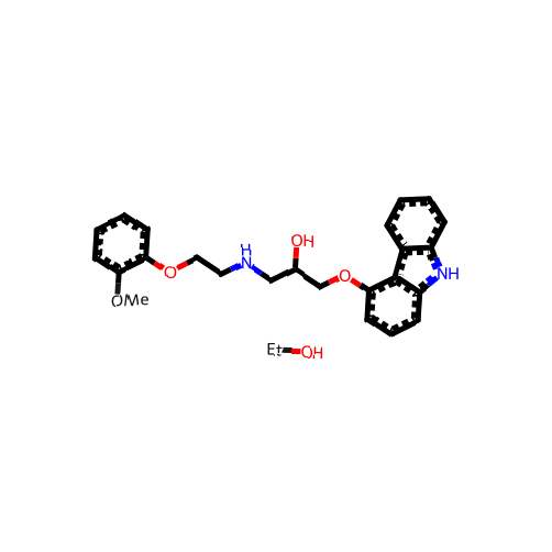 CCO.COc1ccccc1OCCNCC(O)COc1cccc2[nH]c3ccccc3c12